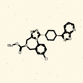 CC(C)(C)OC(=O)N1Cc2cc(Cl)ccc2-n2c(nnc2[C@H]2CC[C@H](c3noc4ncccc43)CC2)C1